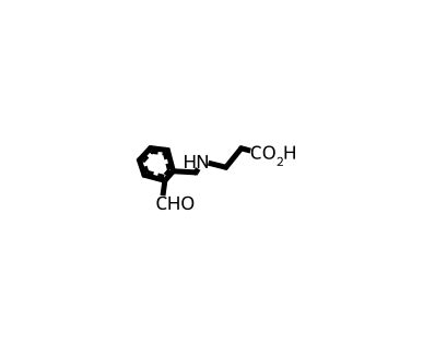 O=Cc1ccccc1CNCCC(=O)O